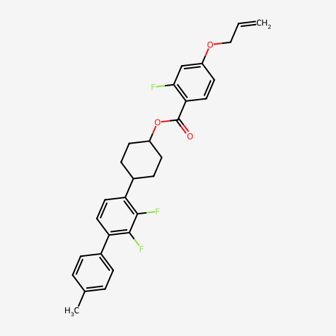 C=CCOc1ccc(C(=O)OC2CCC(c3ccc(-c4ccc(C)cc4)c(F)c3F)CC2)c(F)c1